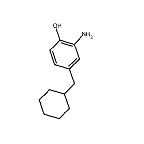 Nc1cc(CC2CCCCC2)ccc1O